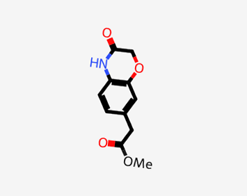 COC(=O)Cc1ccc2c(c1)OCC(=O)N2